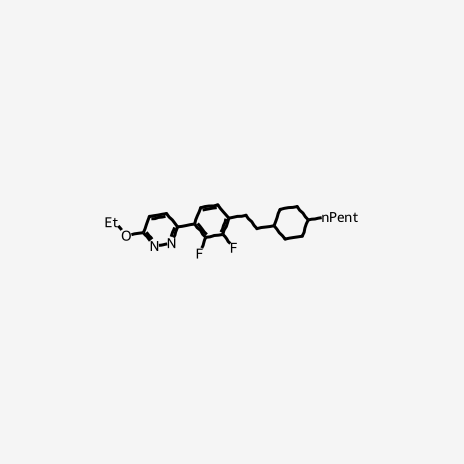 CCCCCC1CCC(CCc2ccc(-c3ccc(OCC)nn3)c(F)c2F)CC1